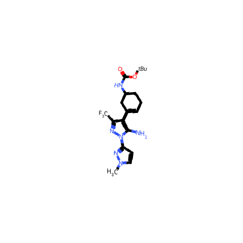 Cn1ccc(-n2nc(C(F)(F)F)c(C3=CCCC(NC(=O)OC(C)(C)C)C3)c2N)n1